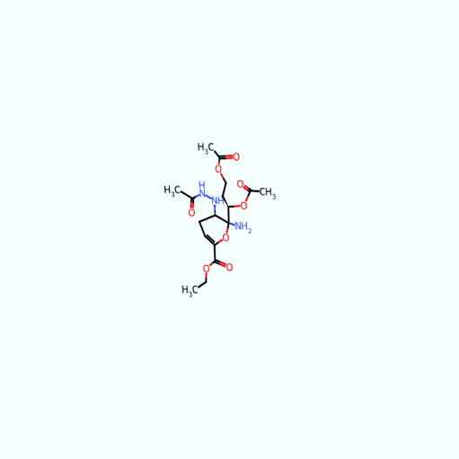 CCOC(=O)C1=CC[C@@H](NNC(C)=O)[C@](N)([C@@H](CCOC(C)=O)OC(C)=O)O1